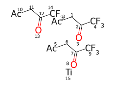 CC(=O)CC(=O)C(F)(F)F.CC(=O)CC(=O)C(F)(F)F.CC(=O)CC(=O)C(F)(F)F.[Ti]